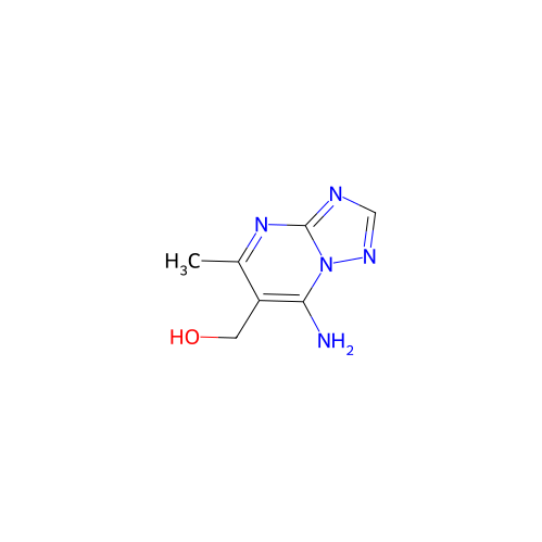 Cc1nc2ncnn2c(N)c1CO